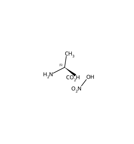 C[C@H](N)C(=O)O.O=[N+]([O-])O